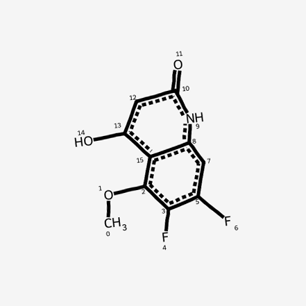 COc1c(F)c(F)cc2[nH]c(=O)cc(O)c12